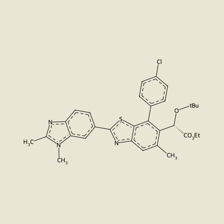 CCOC(=O)[C@@H](OC(C)(C)C)c1c(C)cc2nc(-c3ccc4nc(C)n(C)c4c3)sc2c1-c1ccc(Cl)cc1